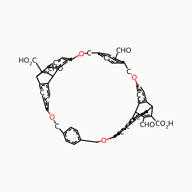 O=CC1=C(C(=O)O)C2c3ccc4cc3C1c1ccc(cc12)OCc1ccc(cc1)COc1ccc2c(c1)C1C(C(=O)O)=C(C=O)C2c2cc(ccc21)OCc1ccc(cc1C=O)CO4